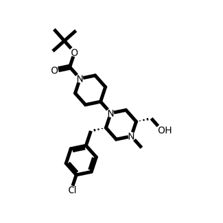 CN1C[C@H](Cc2ccc(Cl)cc2)N(C2CCN(C(=O)OC(C)(C)C)CC2)C[C@@H]1CO